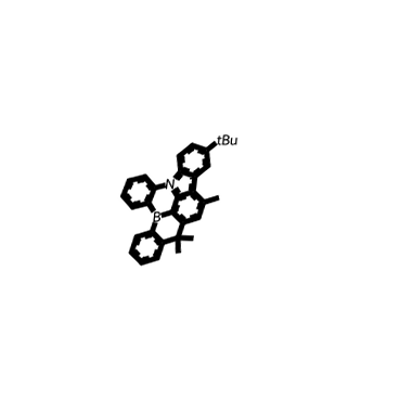 Cc1cc2c3c4c1c1cc(C(C)(C)C)ccc1n4-c1ccccc1B3c1ccccc1C2(C)C